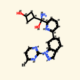 CCc1ccnc(-n2ncc3ccc(-c4cccc([C@](N)(O)C5CC(O)C5)n4)cc32)n1